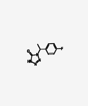 CC(c1ccc(F)cc1)n1nn[nH]c1=O